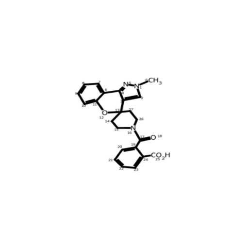 Cn1cc2c(n1)-c1ccccc1OC21CCN(C(=O)c2ccccc2C(=O)O)CC1